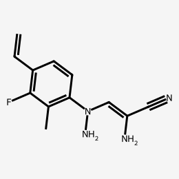 C=Cc1ccc(N(N)/C=C(\N)C#N)c(C)c1F